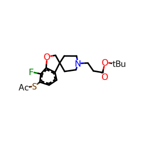 CC(=O)Sc1ccc2c(c1F)OCC21CCN(CCC(=O)OC(C)(C)C)CC1